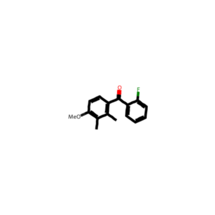 COc1ccc(C(=O)c2ccccc2F)c(C)c1C